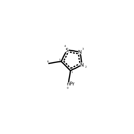 CCCc1nnsc1C